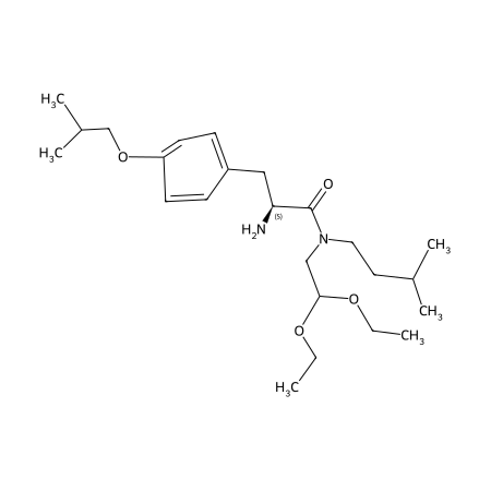 CCOC(CN(CCC(C)C)C(=O)[C@@H](N)Cc1ccc(OCC(C)C)cc1)OCC